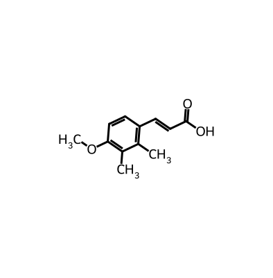 COc1ccc(/C=C/C(=O)O)c(C)c1C